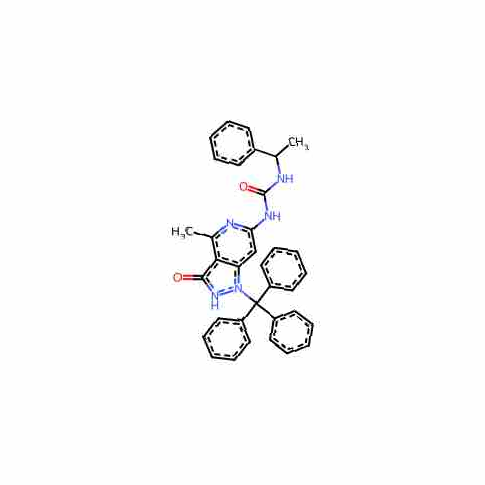 Cc1nc(NC(=O)NC(C)c2ccccc2)cc2c1c(=O)[nH]n2C(c1ccccc1)(c1ccccc1)c1ccccc1